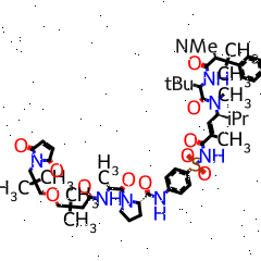 CN[C@H](C(=O)NC(C(=O)N(C)[C@H](/C=C(\C)C(=O)NS(=O)(=O)c1ccc(NC(=O)[C@@H]2CCCN2C(=O)[C@H](C)NC(=O)CC(C)(C)COCC(C)(C)CN2C(=O)C=CC2=O)cc1)C(C)C)C(C)(C)C)C(C)(C)c1ccccc1